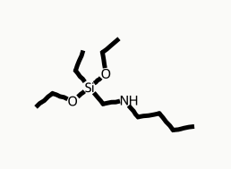 CCCCNC[Si](CC)(OCC)OCC